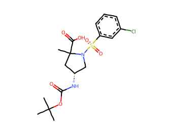 CC(C)(C)OC(=O)N[C@H]1CN(S(=O)(=O)c2cccc(Cl)c2)C(C)(C(=O)O)C1